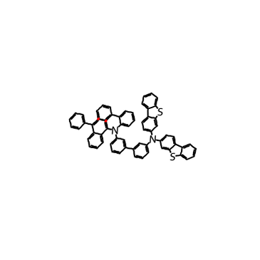 c1ccc(-c2ccccc2N(c2cccc(-c3cccc(N(c4ccc5c(c4)sc4ccccc45)c4ccc5c(c4)sc4ccccc45)c3)c2)c2ccc(-c3ccccc3)c3ccccc23)cc1